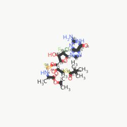 CC(C)OC(=O)[C@@H](C)NP(=S)(OCCSC(=O)C(C)(C)C)OC[C@H]1O[C@@H](n2cnc3c(=O)[nH]c(N)nc32)[C@](F)(Cl)[C@@H]1O